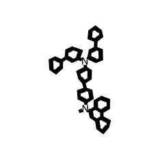 CN(c1ccc(-c2ccc(N(c3cccc(-c4ccccc4)c3)c3cccc(-c4ccccc4)c3)cc2)cc1)c1cc2ccccc2c2ccccc12